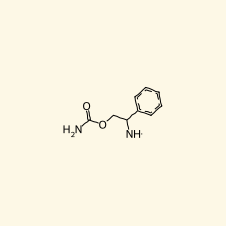 [NH]C(COC(N)=O)c1ccccc1